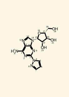 Nc1nc(-n2cc[c]n2)nc2c1ncn2[C@@H]1O[C@H](CO)[C@@H](O)[C@H]1O